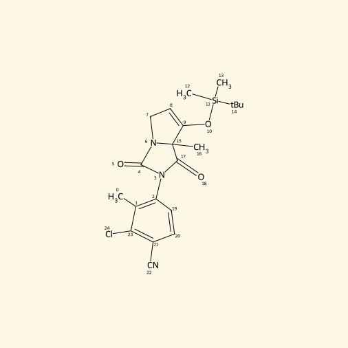 Cc1c(N2C(=O)N3CC=C(O[Si](C)(C)C(C)(C)C)C3(C)C2=O)ccc(C#N)c1Cl